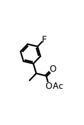 CC(=O)OC(=O)C(C)c1cccc(F)c1